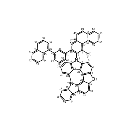 CCc1c(-n2c3ccc4oc5ccc6c7ccccc7n7c8cccc2c8c3c4c5c67)c(-c2cccc(-c3cccc4ccccc34)c2)nc2ccc3ccccc3c12